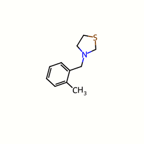 Cc1ccccc1CN1CCSC1